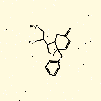 CC(CC(=O)O)C1COC2(Cc3ccccc3)C=CC(=O)CC12